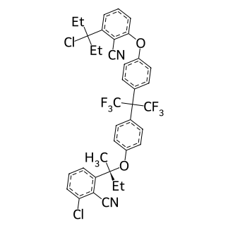 CCC(Cl)(CC)c1cccc(Oc2ccc(C(c3ccc(O[C@](C)(CC)c4cccc(Cl)c4C#N)cc3)(C(F)(F)F)C(F)(F)F)cc2)c1C#N